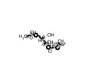 COCC(=O)N(C)c1ccc(C=CC(=O)NCC(=O)N(C)c2ccc(Cl)c(COc3cccn4c(Br)c(C)nc34)c2Cl)cc1.Cl